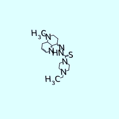 CCN1CCN(C(=S)N/N=C2/CCN(C)C3CC=CN=C23)CC1